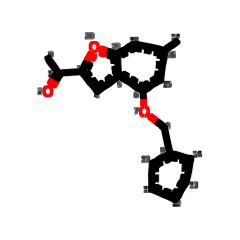 CC(=O)c1cc2c(OCc3ccccc3)cc(C)cc2o1